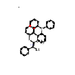 CC/C(=C(/Cc1ccccc1-c1ccccc1P(c1ccccc1)c1ccccc1)C(=O)O)c1ccccc1